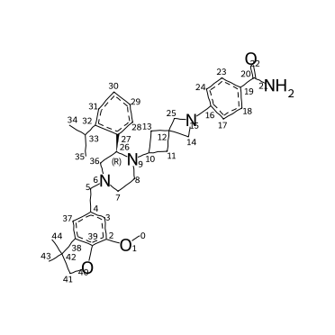 COc1cc(CN2CCN(C3CC4(C3)CN(c3ccc(C(N)=O)cc3)C4)[C@H](c3ccccc3C(C)C)C2)cc2c1OCC2(C)C